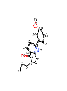 CCCC1CCc2nc(-c3cccc(OC)c3)ccc2C1=O